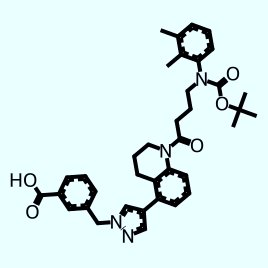 Cc1cccc(N(CCCC(=O)N2CCCc3c(-c4cnn(Cc5cccc(C(=O)O)c5)c4)cccc32)C(=O)OC(C)(C)C)c1C